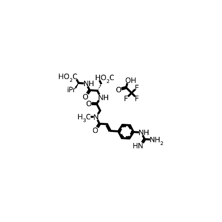 CC(C)[C@H](NC(=O)[C@H](CC(=O)O)NC(=O)CN(C)C(=O)C=Cc1ccc(NC(=N)N)cc1)C(=O)O.O=C(O)C(F)(F)F